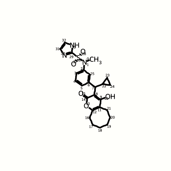 CN(c1cccc(C(c2c(O)c3c(oc2=O)CCCCCC3)C2CC2)c1)S(=O)(=O)c1ncc[nH]1